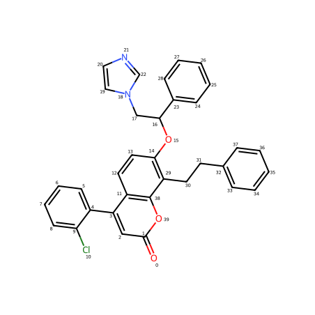 O=c1cc(-c2ccccc2Cl)c2ccc(OC(Cn3ccnc3)c3ccccc3)c(CCc3ccccc3)c2o1